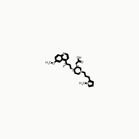 COc1ccc2nccc([C@@H](F)CC[C@@H]3CCN(CCCc4cccn4C)C[C@@H]3CC(=O)O)c2c1